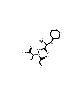 CC(C(N)=O)N(NC(=O)C(N)CC1CCCCC1)C(=O)CF